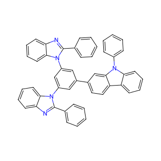 c1ccc(-c2nc3ccccc3n2-c2cc(-c3ccc4c5ccccc5n(-c5ccccc5)c4c3)cc(-n3c(-c4ccccc4)nc4ccccc43)c2)cc1